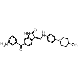 Nc1cccc(C(=O)c2ccc3c(c2)NC(=O)C3=CNc2ccc(N3CCC(O)CC3)cc2)c1